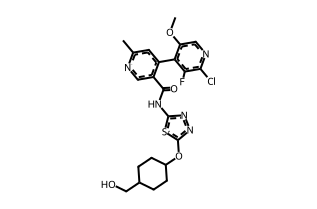 COc1cnc(Cl)c(F)c1-c1cc(C)ncc1C(=O)Nc1nnc(OC2CCC(CO)CC2)s1